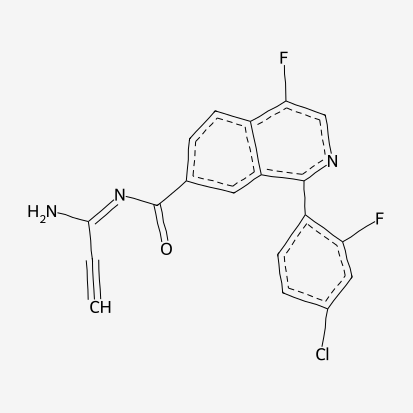 C#C/C(N)=N\C(=O)c1ccc2c(F)cnc(-c3ccc(Cl)cc3F)c2c1